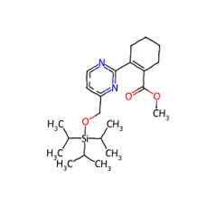 COC(=O)C1=C(c2nccc(CO[Si](C(C)C)(C(C)C)C(C)C)n2)CCCC1